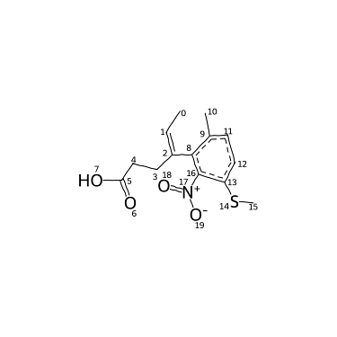 C/C=C(/CCC(=O)O)c1c(C)ccc(SC)c1[N+](=O)[O-]